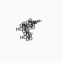 O=P([O-])([O-])C(O)P(=O)([O-])[O-].O=P([O-])([O-])C(O)P(=O)([O-])[O-].O=P([O-])([O-])C(O)P(=O)([O-])[O-].[W+6].[W+6]